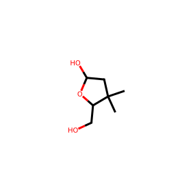 CC1(C)CC(O)OC1CO